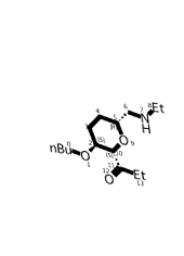 CCCCO[C@H]1CC[C@H](CNCC)O[C@@H]1C(=O)CC